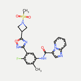 Cc1cc(F)c(-c2noc(C3CN(S(C)(=O)=O)C3)n2)cc1NC(=O)c1cnc2ccccn12